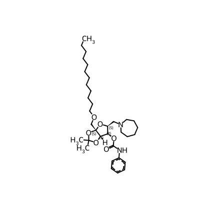 CCCCCCCCCCCCOC[C@@]12O[C@@H](CN3CCCCCC3)[C@@H](OC(=O)Nc3ccccc3)[C@@H]1OC(C)(C)O2